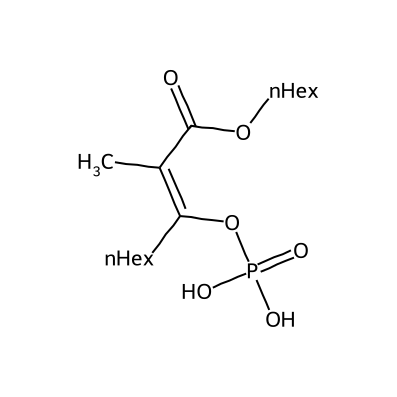 CCCCCCOC(=O)C(C)=C(CCCCCC)OP(=O)(O)O